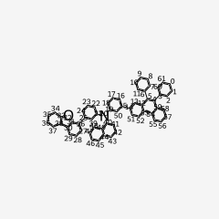 c1ccc(-c2c(-c3ccccc3)c3cc(-c4cccc(N(c5cccc(-c6cccc7c6oc6ccccc67)c5)c5cccc6ccccc56)c4)ccc3c3ccccc23)cc1